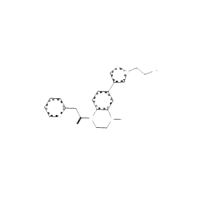 C[C@H]1CN(C(=O)O)c2cc(-c3cnn(CCO)c3)ccc2N1C(=O)Cc1ccccn1